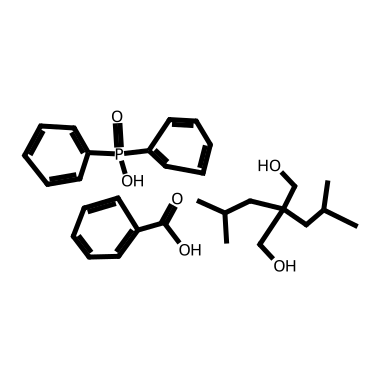 CC(C)CC(CO)(CO)CC(C)C.O=C(O)c1ccccc1.O=P(O)(c1ccccc1)c1ccccc1